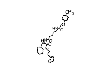 Cc1ccc(OCC(=O)NCCCCC(=O)N[C@@H](CC2CCCCC2)C(=O)CSCc2ccco2)cc1